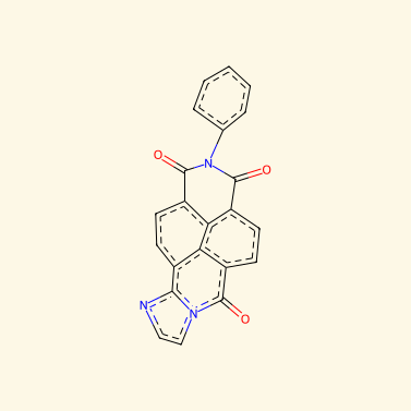 O=C1c2ccc3c(=O)n4ccnc4c4ccc(c2c34)C(=O)N1c1ccccc1